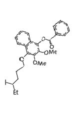 CCC(I)CCCOc1c(OC)c(OC)c(OC(=O)c2ccccc2)c2ccccc12